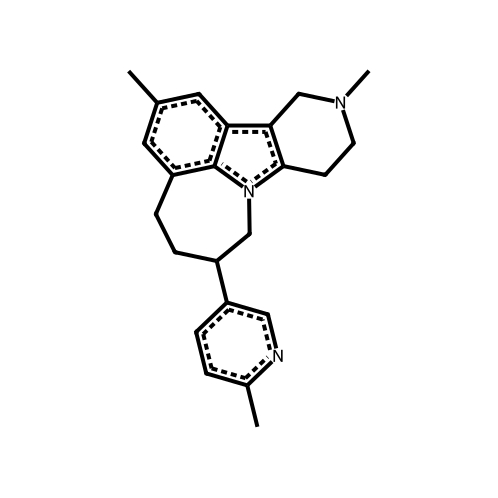 Cc1cc2c3c(c1)c1c(n3CC(c3ccc(C)nc3)CC2)CCN(C)C1